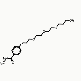 CNC(=O)c1ccc(OCCOCCOCCOCCCO)cc1